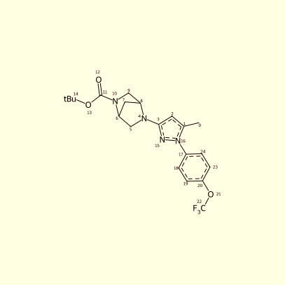 Cc1cc(N2CC3CC2CN3C(=O)OC(C)(C)C)nn1-c1ccc(OC(F)(F)F)cc1